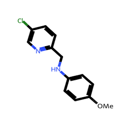 COc1ccc(NCc2ccc(Cl)cn2)cc1